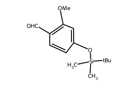 COc1cc(O[Si](C)(C)C(C)(C)C)ccc1C=O